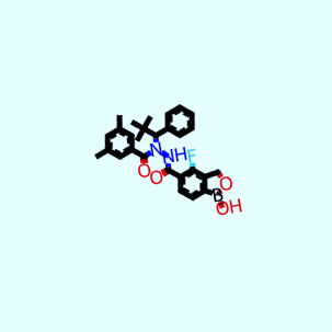 Cc1cc(C)cc(C(=O)N(NC(=O)c2ccc3c(c2F)COB3O)C(c2ccccc2)C(C)(C)C)c1